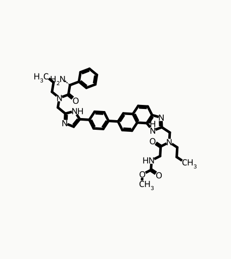 CCCN(Cc1nc2ccc3cc(-c4ccc(-c5cnc(CN(CCC)C(=O)[C@H](N)c6ccccc6)[nH]5)cc4)ccc3c2[nH]1)C(=O)CNC(=O)OC